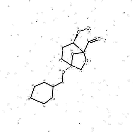 C=CC12OC[C@@](OCC3CCCCC3)(CC[C@H]1OCC)O2